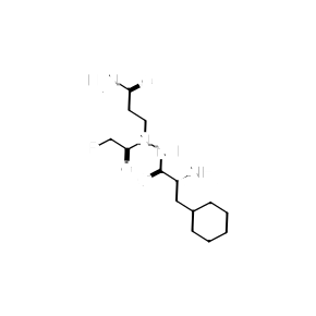 NC(=O)CCN(NC(=O)[C@@H](N)CC1CCCCC1)C(=O)CF